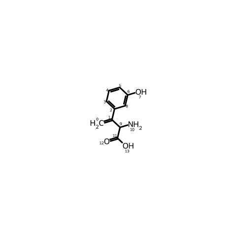 C=C(c1cccc(O)c1)C(N)C(=O)O